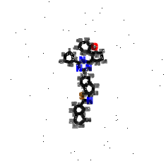 c1ccc(-c2nc(-c3ccc4c(ccc5nc(-c6ccc7ccccc7c6)sc54)c3)nc(-c3cccc4oc5ccccc5c34)n2)cc1